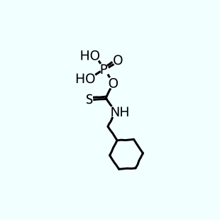 O=P(O)(O)OC(=S)NCC1CCCCC1